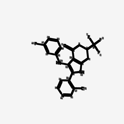 O=C1CC(C(F)(F)F)Cc2[nH]c(-c3ccncc3Cl)c(Nc3cccc(F)c3)c21